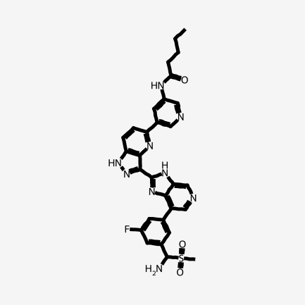 CCCCC(=O)Nc1cncc(-c2ccc3[nH]nc(-c4nc5c(-c6cc(F)cc(C(N)S(C)(=O)=O)c6)cncc5[nH]4)c3n2)c1